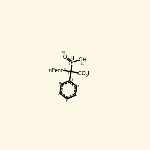 CCCCCC(C(=O)O)(c1ccccc1)[PH](=O)O